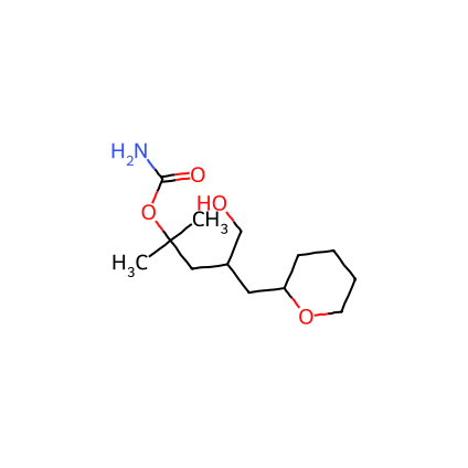 CC(C)(CC(CO)CC1CCCCO1)OC(N)=O